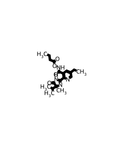 CCCC(=O)ONC(=O)c1cc(CC)cnc1C1=NC(C)(C(C)C)C(=O)N1